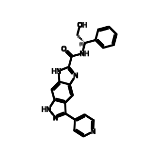 O=C(N[C@H](CO)c1ccccc1)c1nc2cc3c(-c4ccncc4)n[nH]c3cc2[nH]1